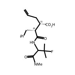 C=CC[C@H](C(=O)O)[C@@H](CC(C)C)C(=O)NC(C(=O)NC)C(C)(C)F